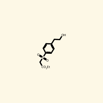 CCOC(=O)CS(=O)(=O)c1ccc(CCO)cc1